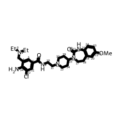 CCN(CC)Cc1cc(C(=O)NCCN2CCC(N3CCc4cc(OC)ccc4NC3=O)CC2)cc(Cl)c1N